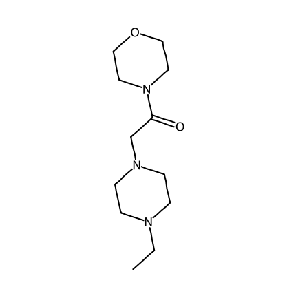 CCN1CCN(CC(=O)N2CCOCC2)CC1